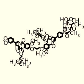 COc1cc2c(cc1OCCCOc1cc3c(cc1OC)C(=O)N1C=C(c4ccc5c(c4)OCO5)C[C@H]1C(=O)N3COCC[Si](C)(C)C)N(COCC[Si](C)(C)C)C(=O)[C@@H]1CC(c3ccc(NC(=O)[C@H](C)NC(=O)[C@@H](NC(=O)O)C(C)C)cc3)=CN1C2=O